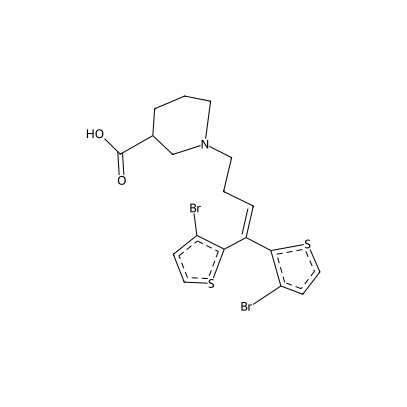 O=C(O)C1CCCN(CCC=C(c2sccc2Br)c2sccc2Br)C1